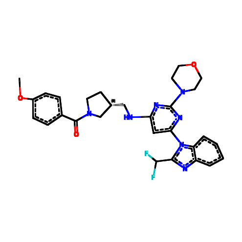 COc1ccc(C(=O)N2CC[C@H](CNc3cc(-n4c(C(F)F)nc5ccccc54)nc(N4CCOCC4)n3)C2)cc1